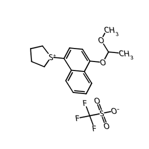 COC(C)Oc1ccc([S+]2CCCC2)c2ccccc12.O=S(=O)([O-])C(F)(F)F